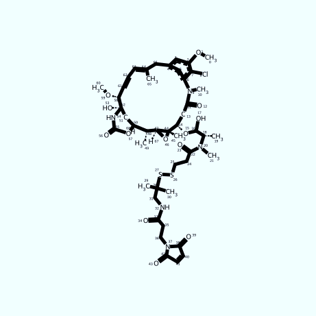 COc1cc2cc(c1Cl)N(C)C(=O)C[C@H](OC(O)[C@H](C)N(C)C(=O)CCSSC(C)(C)CNC(=O)CCN1C(=O)C=CC1=O)[C@]1(C)O[C@H]1[C@H](C)[C@@H]1C[C@@](O)(NC(=O)O1)[C@H](OC)/C=C/C=C(\C)C2